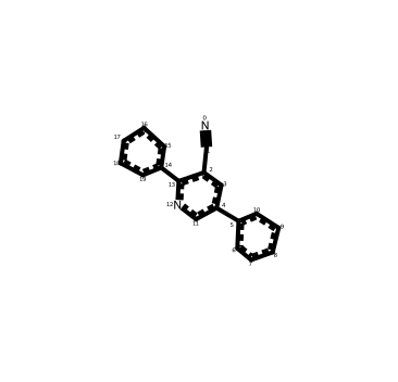 N#Cc1cc(-c2ccccc2)cnc1-c1ccccc1